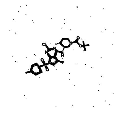 Cc1ccc(S(=O)(=O)n2cc(F)c3c(N[C@H]4CN(C(=O)OC(C)(C)C)CC[C@H]4C)nc(Cl)nc32)cc1